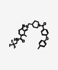 Cc1ccc(Oc2ccc(C(=O)N3CCC(Cn4cc5c(C)c(C(=O)NCC(F)(F)F)ccc5n4)CC3)cc2)cc1